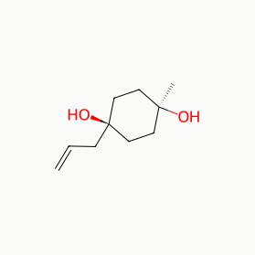 C=CC[C@]1(O)CC[C@@](C)(O)CC1